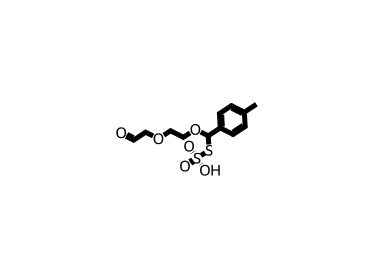 Cc1ccc(C(OCCOCC=O)SS(=O)(=O)O)cc1